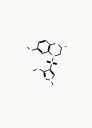 CCOc1nn(CC)cc1S(=O)(=O)N1C[C@H](C)Oc2ccc(NC(=O)O)cc21